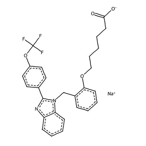 O=C([O-])CCCCCOc1ccccc1Cn1c(-c2ccc(OC(F)(F)F)cc2)nc2ccccc21.[Na+]